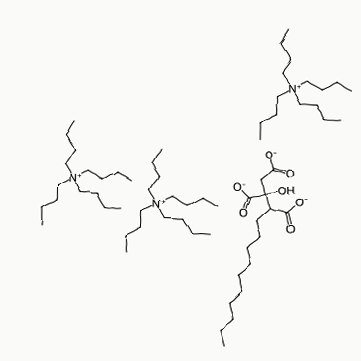 CCCCCCCCCCC(C(=O)[O-])C(O)(CC(=O)[O-])C(=O)[O-].CCCC[N+](CCCC)(CCCC)CCCC.CCCC[N+](CCCC)(CCCC)CCCC.CCCC[N+](CCCC)(CCCC)CCCC